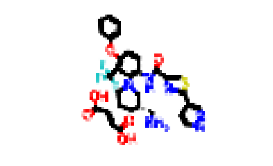 NC[C@@H]1CCCN(c2c(NC(=O)c3csc(-c4ccnnc4)n3)ccc(Oc3ccccc3)c2C(F)(F)F)C1.O=C(O)/C=C/C(=O)O